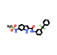 CS(=O)(=O)Nc1ccc2cc(C(=O)Nc3cccc(C(F)(F)c4ccccc4)c3)[nH]c2c1